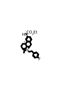 CCOC(=O)Nc1ccc2c(c1)[C@]1(C)CCC3CC1C(C2)N(CCc1ccc(F)cc1)C3C